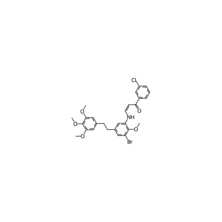 COc1cc(CCc2cc(Br)c(OC)c(N/C=C\C(=O)c3cccc(Cl)c3)c2)cc(OC)c1OC